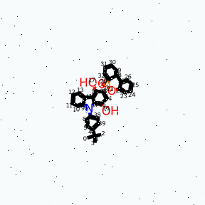 CC(C)(C)c1ccc(-n2c3ccccc3c3c(O)c(P4(=O)Oc5ccccc5-c5ccccc54)cc(O)c32)cc1